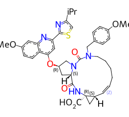 COc1ccc(CN2CCCC/C=C\[C@@H]3C[C@@]3(C(=O)O)NC(=O)[C@@H]3C[C@@H](Oc4cc(-c5nc(C(C)C)cs5)nc5cc(OC)ccc45)CN3C2=O)cc1